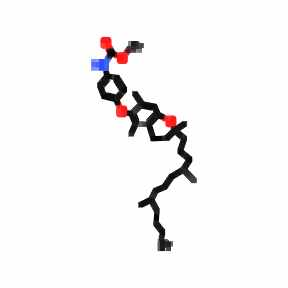 Cc1cc2c(c(C)c1Oc1ccc(NC(=O)OC(C)C)cc1)CCC(C)(CCCC(C)CCCC(C)CCCC(C)C)O2